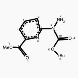 COC(=O)c1cccc(N(N)C(=O)OC(C)(C)C)n1